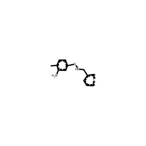 Cc1ccc(SNCc2ccccc2)cc1N